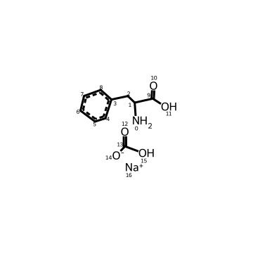 NC(Cc1ccccc1)C(=O)O.O=C([O-])O.[Na+]